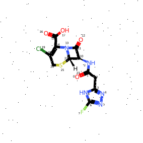 O=C(Cc1nnc(F)[nH]1)N[C@@H]1C(=O)N2C(C(=O)O)=C(Cl)CS[C@@H]12